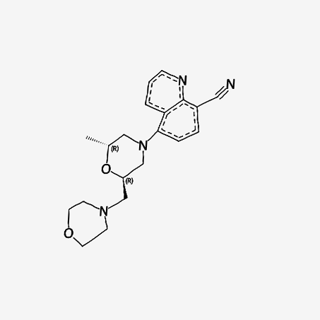 C[C@@H]1CN(c2ccc(C#N)c3ncccc23)C[C@@H](CN2CCOCC2)O1